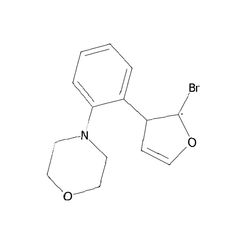 Br[C]1OC=CC1c1ccccc1N1CCOCC1